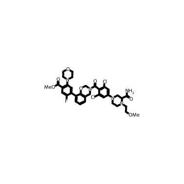 COCCN1CCN(c2cc(Cl)c(C(=O)N3COc4c(cccc4-c4cc(N5CCOCC5)c(C(=O)OC)cc4F)C3)c(Cl)c2)CC1C(N)=O